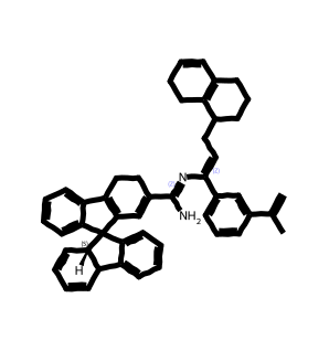 C=C(C)c1cccc(C(=C/CC2CCCC3=C2CCC=C3)/N=C(\N)C2=CC3=C(CC2)c2ccccc2C32c3ccccc3C3C=CC=C[C@@H]32)c1